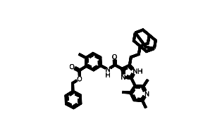 Cc1cc(C)c(-c2nc(C(=O)Nc3ccc(C)c(C(=O)OCc4ccccc4)c3)c(CCC34CC5CC(CC(C5)C3)C4)[nH]2)c(C)n1